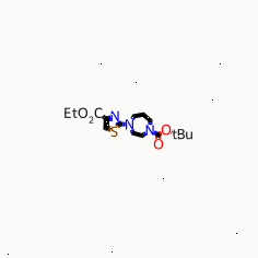 CCOC(=O)c1csc(N2CCCN(C(=O)OC(C)(C)C)CC2)n1